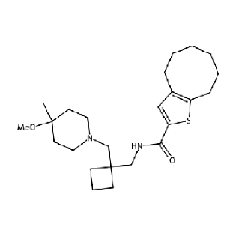 COC1(C)CCN(CC2(CNC(=O)c3cc4c(s3)CCCCCC4)CCC2)CC1